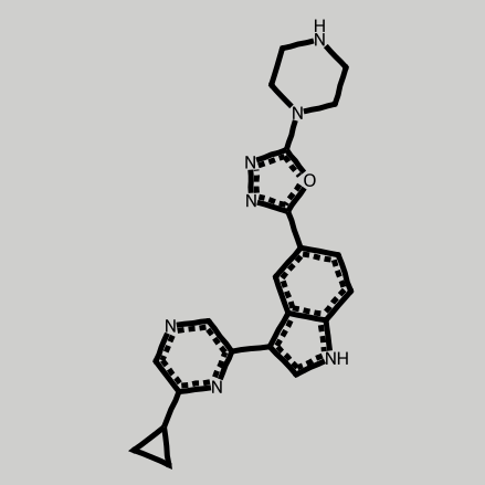 c1cc2[nH]cc(-c3cncc(C4CC4)n3)c2cc1-c1nnc(N2CCNCC2)o1